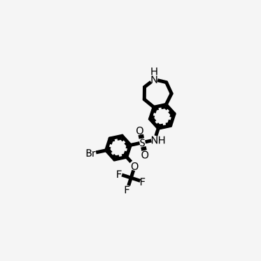 O=S(=O)(Nc1ccc2c(c1)CCNCC2)c1ccc(Br)cc1OC(F)(F)F